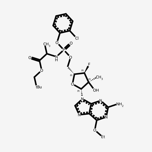 CCOc1nc(N)nc2c1ncn2[C@@H]1O[C@H](COP(=O)(NC(C)C(=O)OCC(C)(C)C)Oc2ccccc2Cl)[C@@H](F)[C@@]1(C)O